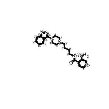 Nc1cnccc1C(=O)NCCCCN1CCN(c2snc3ccccc23)CC1